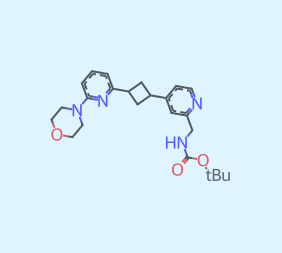 CC(C)(C)OC(=O)NCc1cc(C2CC(c3cccc(N4CCOCC4)n3)C2)ccn1